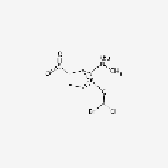 CC(Br)OC1C2CC([SH](=O)=O)C(O2)C1N(C)C(C)(C)C